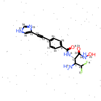 NC(C(F)F)[C@H](NC(=O)c1ccc(C#Cc2c[nH]cn2)cc1)C(=O)NO